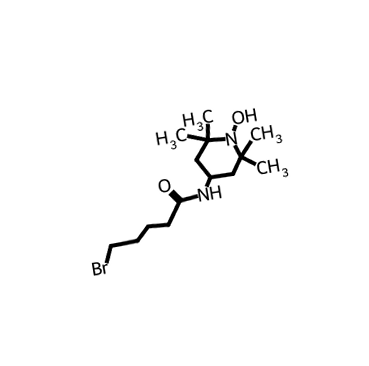 CC1(C)CC(NC(=O)CCCCBr)CC(C)(C)N1O